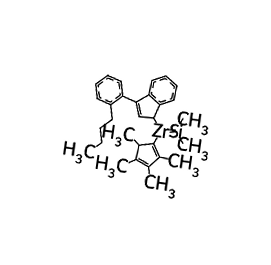 CCCCc1ccccc1C1=C[CH]([Zr]([C]2=C(C)C(C)=C(C)C2C)=[Si](C)C)c2ccccc21